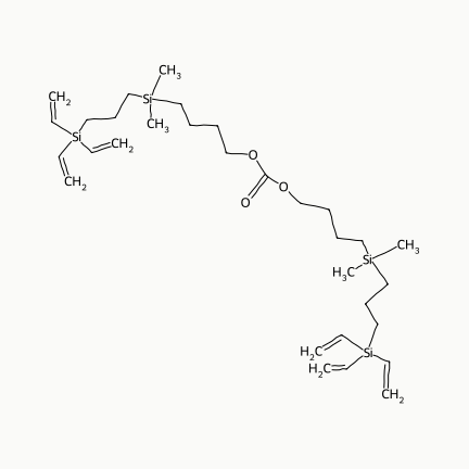 C=C[Si](C=C)(C=C)CCC[Si](C)(C)CCCCOC(=O)OCCCC[Si](C)(C)CCC[Si](C=C)(C=C)C=C